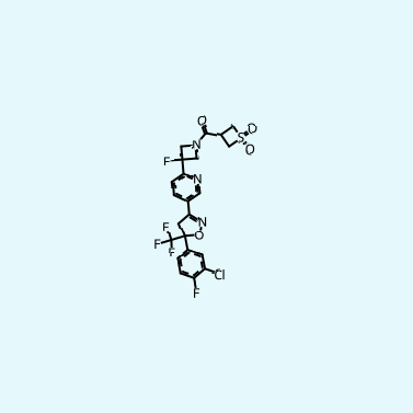 O=C(C1CS(=O)(=O)C1)N1CC(F)(c2ccc(C3=NOC(c4ccc(F)c(Cl)c4)(C(F)(F)F)C3)cn2)C1